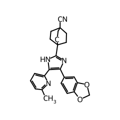 Cc1cccc(-c2[nH]c(C34CCC(C#N)(CC3)CC4)nc2-c2ccc3c(c2)OCO3)n1